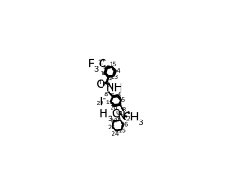 C[N+](C)(Cc1ccc(CNC(=O)c2cccc(C(F)(F)F)c2)cc1)C1CCCCC1.[I-]